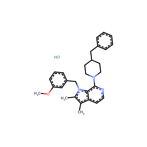 COc1cccc(Cn2c(C)c(C)c3ccnc(N4CCC(Cc5ccccc5)CC4)c32)c1.Cl